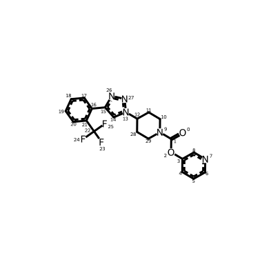 O=C(Oc1cccnc1)N1CCC(n2cc(-c3ccccc3C(F)(F)F)nn2)CC1